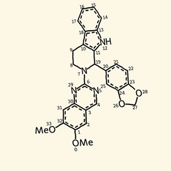 COc1cc2cnc(N3CCc4c([nH]c5ccccc45)C3c3ccc4c(c3)OCO4)nc2cc1OC